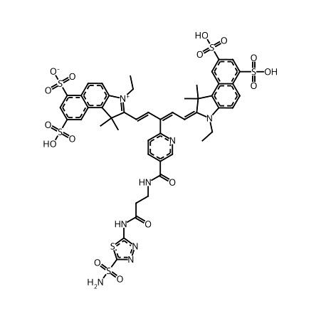 CCN1/C(=C/C=C(/C=C/C2=[N+](CC)c3ccc4c(S(=O)(=O)[O-])cc(S(=O)(=O)O)cc4c3C2(C)C)c2ccc(C(=O)NCCC(=O)Nc3nnc(S(N)(=O)=O)s3)cn2)C(C)(C)c2c1ccc1c(S(=O)(=O)O)cc(S(=O)(=O)O)cc21